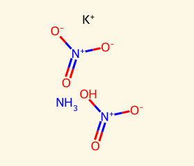 N.O=[N+]([O-])O.O=[N+]([O-])[O-].[K+]